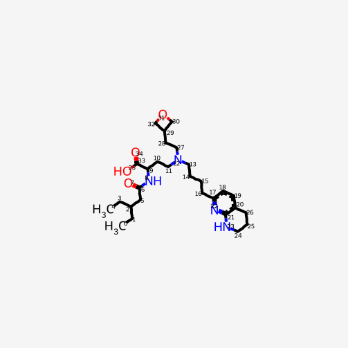 CCC(CC)CC(=O)NC(CCN(CCCCc1ccc2c(n1)NCCC2)CCC1COC1)C(=O)O